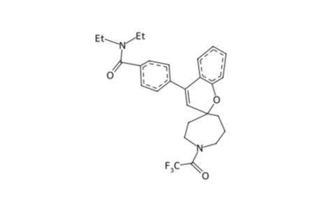 CCN(CC)C(=O)c1ccc(C2=CC3(CCCN(C(=O)C(F)(F)F)CC3)Oc3ccccc32)cc1